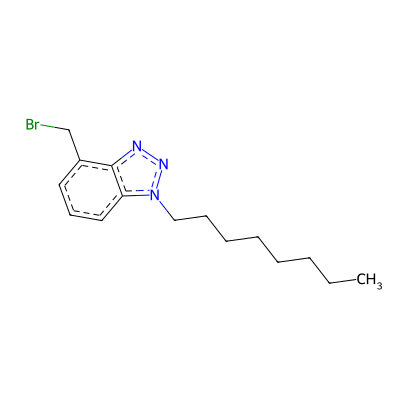 CCCCCCCCn1nnc2c(CBr)cccc21